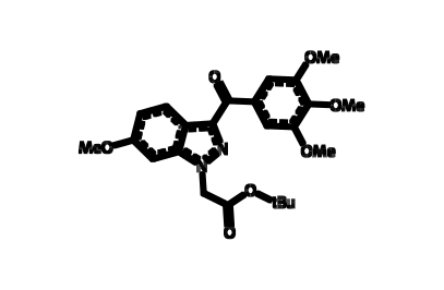 COc1ccc2c(C(=O)c3cc(OC)c(OC)c(OC)c3)nn(CC(=O)OC(C)(C)C)c2c1